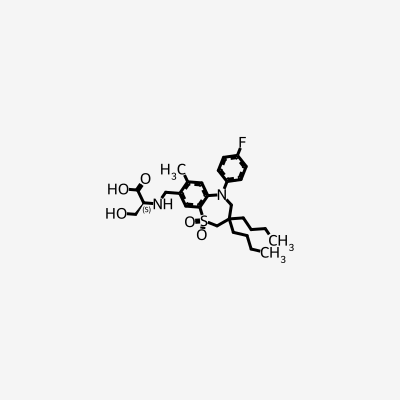 CCCCC1(CCCC)CN(c2ccc(F)cc2)c2cc(C)c(CN[C@@H](CO)C(=O)O)cc2S(=O)(=O)C1